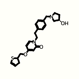 O=c1cc(OCC2CC=CS2)ccn1CCc1ccc(CN2CC[C@H](O)C2)cc1